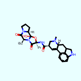 CCC(C)[C@H]1C(=O)N2CCC[C@H]2[C@]2(O)O[C@](NC(=O)[C@@H]3C=C4c5cccc6c5C(CN6)C[C@H]4N(C)C3)(C(C)C)C(=O)N12